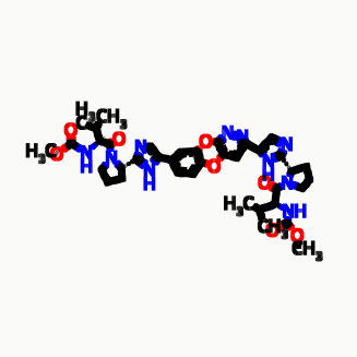 COC(=O)N[C@H](C(=O)N1CCC[C@H]1c1ncc(-c2ccc3c(c2)Oc2nnc(-c4cnc([C@@H]5CCCN5C(=O)[C@@H](NC(=O)OC)C(C)C)[nH]4)cc2O3)[nH]1)C(C)C